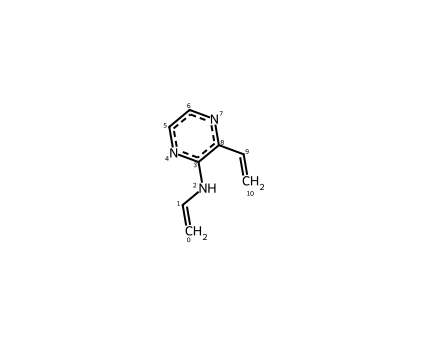 C=CNc1nccnc1C=C